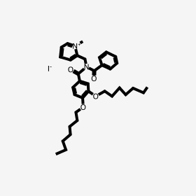 CCCCCCCOc1ccc(C(=O)N(Cc2cccc[n+]2C)C(=O)c2ccccc2)cc1OCCCCCCC.[I-]